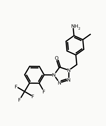 Cc1cc(Cn2nnn(-c3cccc(C(F)(F)F)c3F)c2=O)ccc1N